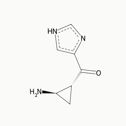 N[C@@H]1C[C@H]1C(=O)c1c[nH]cn1